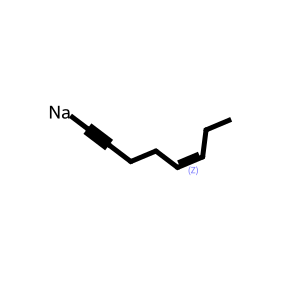 CC/C=C\CCC#[C][Na]